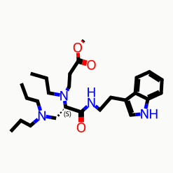 CCCN(CCC)C[C@@H](C(=O)NCCc1c[nH]c2ccccc12)N(CCC)CCC(=O)OC